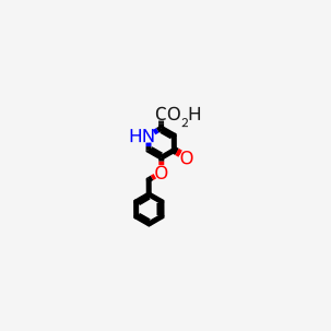 O=C(O)c1cc(=O)c(OCc2ccccc2)c[nH]1